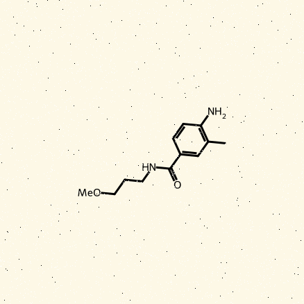 COCCCNC(=O)c1ccc(N)c(C)c1